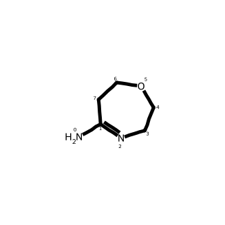 NC1=NCCOCC1